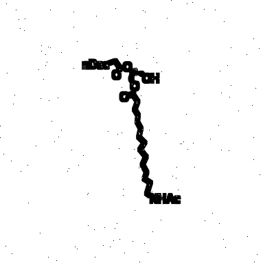 CCCCCCCCCCCC(=O)O[C@@H](CO)COC(=O)CCCCCCCCCCCCCCNC(C)=O